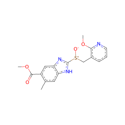 COC(=O)c1cc2nc([S+]([O-])Cc3cccnc3OC)[nH]c2cc1C